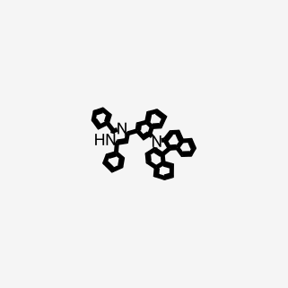 C1=C(c2ccccc2)NC(c2ccccc2)N=C1c1cc(-n2c3ccc4ccccc4c3c3c4ccccc4ccc32)c2ccccc2c1